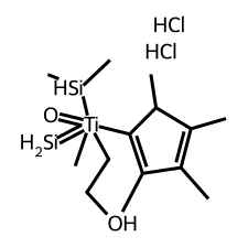 CC1=C(C)C(C)[C]([Ti]([CH3])(=[O])(=[SiH2])([CH2]CO)[SiH](C)C)=C1C.Cl.Cl